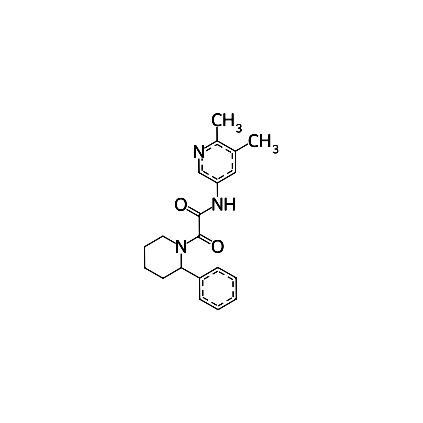 Cc1cc(NC(=O)C(=O)N2CCCCC2c2ccccc2)cnc1C